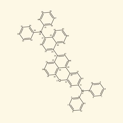 c1ccc(N(c2ccccc2)c2ccc3c(c2)Oc2cccc4c(-c5ccc(N(c6ccccc6)c6ccccc6)c6ccccc56)ccc-3c24)cc1